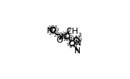 CC1C[C@@H](c2ccc(C#N)c3ncccc23)CN(C(=O)CCc2cccnc2)C1